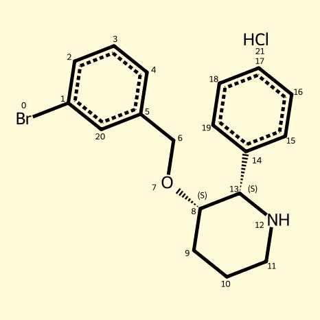 Brc1cccc(CO[C@H]2CCCN[C@H]2c2ccccc2)c1.Cl